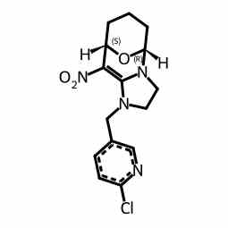 O=[N+]([O-])C1=C2N(Cc3ccc(Cl)nc3)CCN2[C@H]2CCC[C@@H]1O2